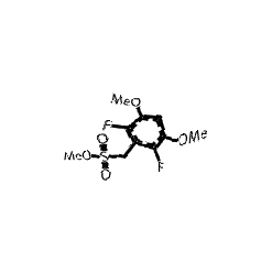 COc1cc(OC)c(F)c(CS(=O)(=O)OC)c1F